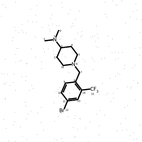 CN(C)C1CCN(Cc2ccc(Br)cc2C(F)(F)F)CC1